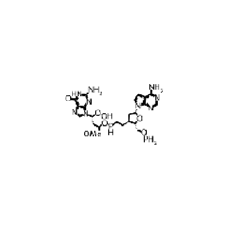 COC(C[C@@H](OO)n1cnc2c(=O)[nH]c(N)nc21)OPCC[C@H]1C[C@H](n2ccc3c(N)ncnc32)O[C@@H]1COP